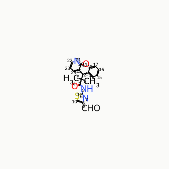 CC(C)(C(=O)Nc1nc(C=O)cs1)C1c2ccccc2Oc2ncccc21